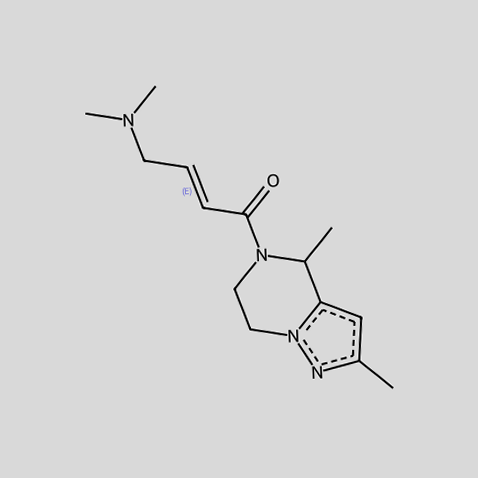 Cc1cc2n(n1)CCN(C(=O)/C=C/CN(C)C)C2C